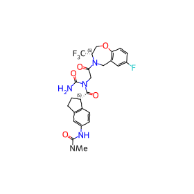 CNC(=O)Nc1ccc2c(c1)CC[C@@H]2C(=O)N(CC(=O)N1Cc2cc(F)ccc2OC[C@H]1C(F)(F)F)C(N)=O